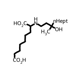 CCCCCCCC(C)(O)CCNC(CCCCCCC(=O)O)C(=O)O